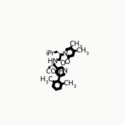 Cc1cc(=O)n([C@@H](CC(C)C)C(=O)N[C@@H](CC(=O)O)c2cncc(-c3c(C)cccc3C)c2)cc1C